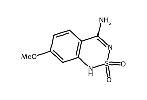 COc1ccc2c(c1)NS(=O)(=O)N=C2N